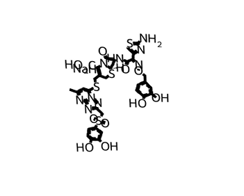 Cc1cc(SCC2=C(C(=O)O)N3C(=O)[C@@H](NC(=O)/C(=N\OCc4ccc(O)c(O)c4)c4csc(N)n4)[C@H]3SC2)n2nc(CS(=O)(=O)c3ccc(O)c(O)c3)nc2n1.[NaH]